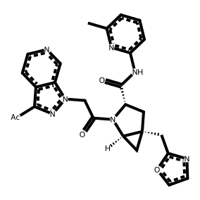 CC(=O)c1nn(CC(=O)N2[C@H](C(=O)Nc3cccc(C)n3)C[C@@]3(Cc4ncco4)C[C@@H]23)c2cnccc12